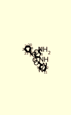 NC(=O)C[C@@H](NC(=O)c1cnccn1)C(=O)OCc1ccccc1